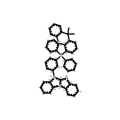 CC1(C)c2ccccc2Sc2c1cccc2S(c1ccccc1)(c1ccccc1)c1cccc(-n2c3ccccc3n3c4ccccc4nc23)c1